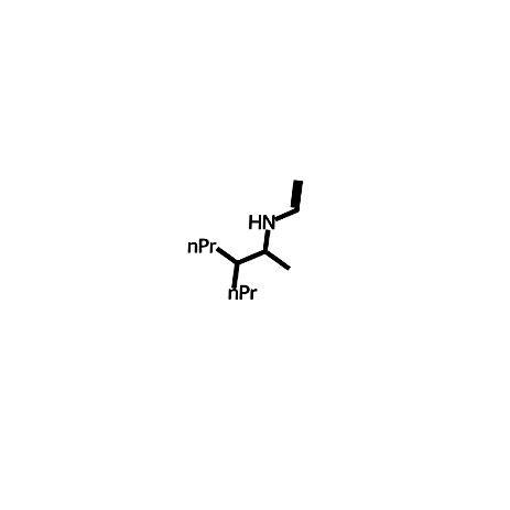 C=CNC(C)C(CCC)CCC